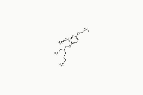 C=C.CCCCC(CC)COc1ccc(OCC)cc1